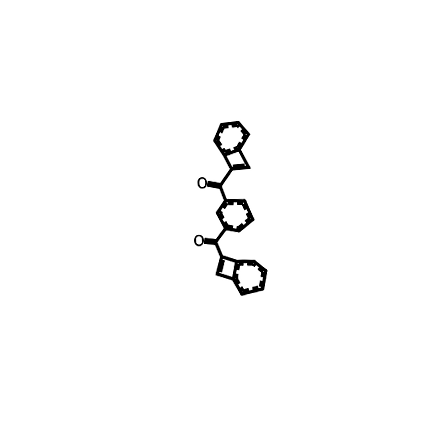 O=C(C1=Cc2ccccc21)c1cccc(C(=O)C2=Cc3ccccc32)c1